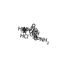 CC[C@H](C)[C@H](NC(=O)CCCN)C(=O)NCC(=O)N1c2ccccc2C[C@H]1C(=O)NCc1nn[nH]n1.Cl